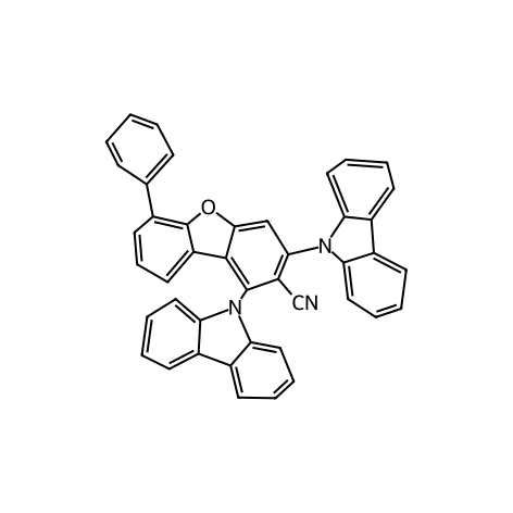 N#Cc1c(-n2c3ccccc3c3ccccc32)cc2oc3c(-c4ccccc4)cccc3c2c1-n1c2ccccc2c2ccccc21